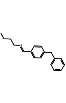 CCCC/N=C/c1ccc(Cc2ccccc2)cc1